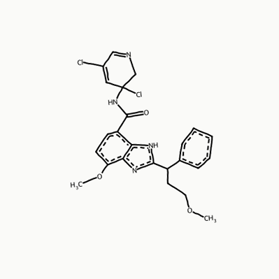 COCCC(c1ccccc1)c1nc2c(OC)ccc(C(=O)NC3(Cl)C=C(Cl)C=NC3)c2[nH]1